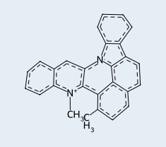 Cc1ccc2ccc3c4ccccc4n4c5cc6ccccc6[n+](C)c5c1c2c34